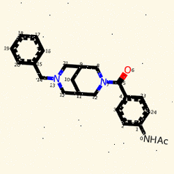 CC(=O)Nc1ccc(C(=O)N2CC3CC(CN(Cc4ccccc4)C3)C2)cc1